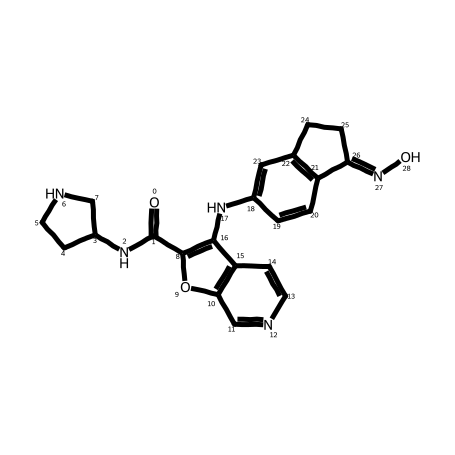 O=C(NC1CCNC1)c1oc2cnccc2c1Nc1ccc2c(c1)CCC2=NO